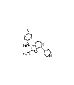 Nc1oc2c(-c3ccncc3)nccc2c1Nc1ccc(F)cc1